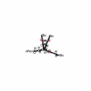 CCCCCC(=O)NCCCNC(=O)CCOCC(COCCC(=O)NCCCNC(=O)CCCCC(C)(C)C)(COCCC(=O)NCCCNC(=O)CCCCC(C)(C)C)NC(=O)CCCC(=O)NCCCCCCNC(=O)/C=C/C(C)(C)C